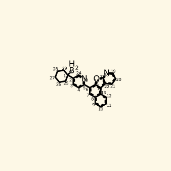 BC1(c2ccc(-c3cc4ccccc4c4c3oc3ncccc34)nc2)CCCCC1